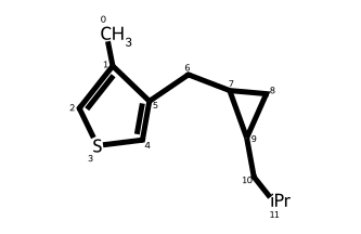 Cc1cscc1CC1CC1CC(C)C